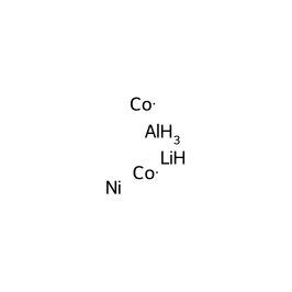 [AlH3].[Co].[Co].[LiH].[Ni]